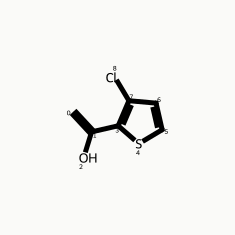 C=C(O)c1sccc1Cl